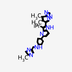 Cc1cnc(CNC2CCC(c3ccc4[nH]c(-c5cn6ncnc6c(C)c5C)c(C(C)C)c4n3)CC2)cn1